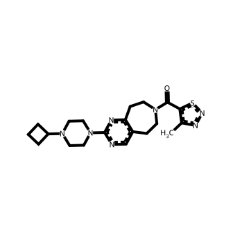 Cc1nnsc1C(=O)N1CCc2cnc(N3CCN(C4CCC4)CC3)nc2CC1